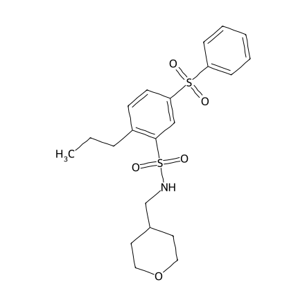 CCCc1ccc(S(=O)(=O)c2ccccc2)cc1S(=O)(=O)NCC1CCOCC1